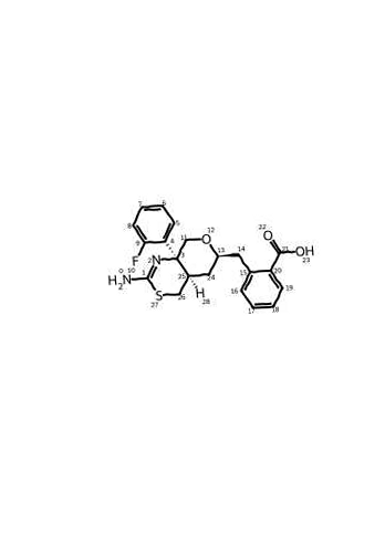 NC1=N[C@@]2(c3ccccc3F)CO[C@@H](Cc3ccccc3C(=O)O)C[C@H]2CS1